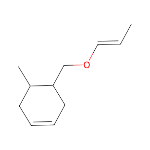 C/C=C/OCC1CC=CCC1C